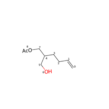 C=CCCC(CO)COC(C)=O